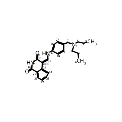 CCCN(CCC)Cc1ccc(N/C=C2\C(=O)NC(=O)c3ccccc32)cc1